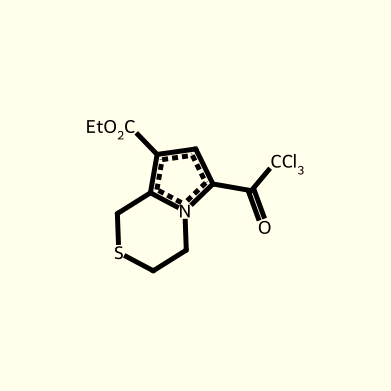 CCOC(=O)c1cc(C(=O)C(Cl)(Cl)Cl)n2c1CSCC2